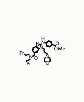 COC(=O)c1ccc(Nc2nc3ccc(C(=O)N(CCC(C)C)CCC(C)C)cc3n2CCCN2CCOCC2)cc1